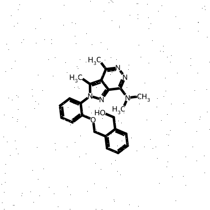 Cc1nnc(N(C)C)c2nn(-c3ccccc3OCc3ccccc3CO)c(C)c12